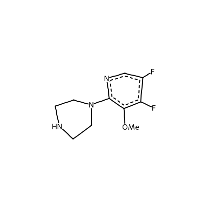 COc1c(N2CCNCC2)ncc(F)c1F